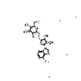 Nc1ncnc2c1ncn2[C@@H]1O[C@H](CO[C@@H]2O[C@H](CO)[C@H](O)[C@H](O)[C@H]2O)[C@@H](O)[C@H]1O